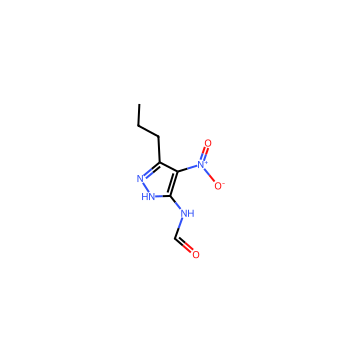 CCCc1n[nH]c(NC=O)c1[N+](=O)[O-]